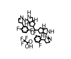 O=C(C1C[C@H]2CNC(N3N=CCC3c3cc(F)ccc3F)[C@H]2C1)C1C[C@H]2CNC(N3N=CCC3c3cc(F)ccc3F)[C@H]2C1.O=C(O)C(F)(F)F